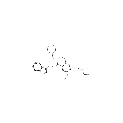 COc1cc2c(cc1OCC1CCCC1)CCN(CC1CCOCC1)C2CCc1c[nH]c2ccccc12